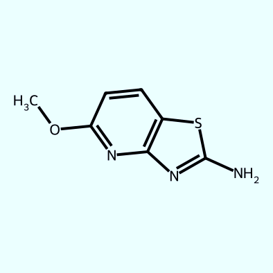 COc1ccc2sc(N)nc2n1